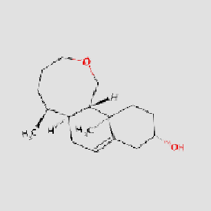 C[C@H]1CCCOC[C@H]2[C@H]1CC=C1C[C@@H](O)CC[C@@]12C